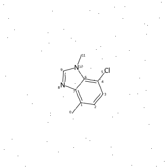 Cc1ccc(Cl)c2c1ncn2C